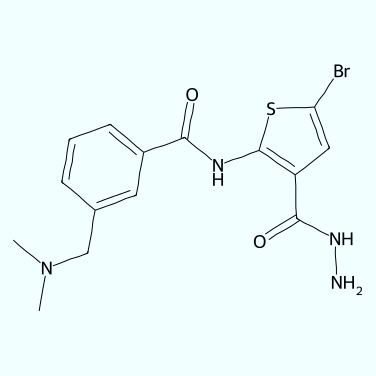 CN(C)Cc1cccc(C(=O)Nc2sc(Br)cc2C(=O)NN)c1